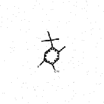 Cc1cc(O)c(F)cc1C(C)(C)C